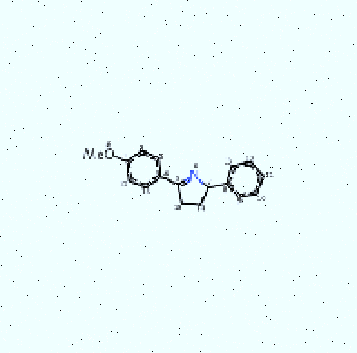 COc1ccc(C2=NC(c3ccccc3)CC2)cc1